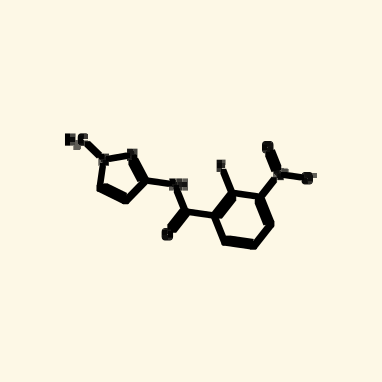 Cn1ccc(NC(=O)c2cccc([N+](=O)[O-])c2F)n1